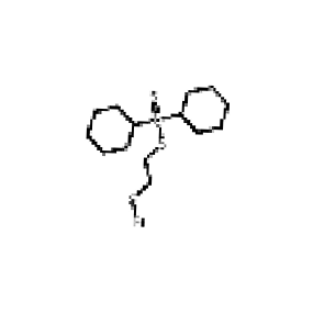 CCSCCSP(=S)(C1CCCCC1)C1CCCCC1